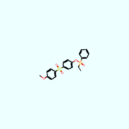 CCP(=O)(Oc1ccc(S(=O)(=O)c2ccc(OC)cc2)cc1)c1ccccc1